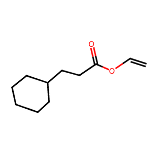 C=COC(=O)CCC1CCCCC1